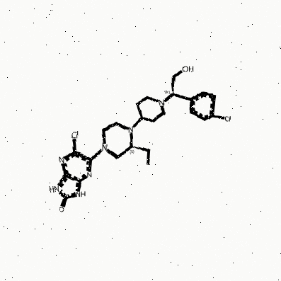 CC[C@H]1CN(c2nc3[nH]c(=O)[nH]c3nc2Cl)CCN1C1CCN([C@@H](CO)c2ccc(Cl)cc2)CC1